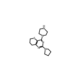 C1CSc2c(nc(N3CCCC3)nc2N2CCNCC2)C1